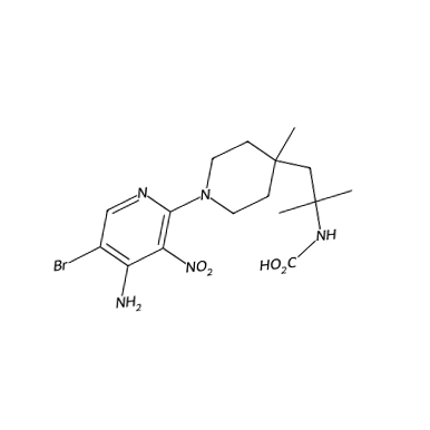 CC1(CC(C)(C)NC(=O)O)CCN(c2ncc(Br)c(N)c2[N+](=O)[O-])CC1